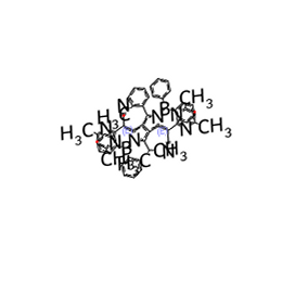 Cc1cc(C)nc(/C(C#N)=c2/c3c(C(C)C)n(B(c4ccccc4)c4ccccc4)/c(=C(/C#N)c4nc(C)cc(C)n4)c3c(-c3ccccc3C)n2B(c2ccccc2)c2ccccc2)n1